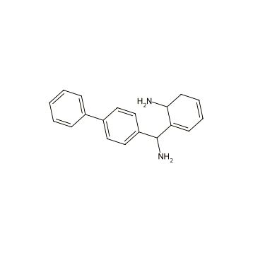 NC1CC=CC=C1C(N)c1ccc(-c2ccccc2)cc1